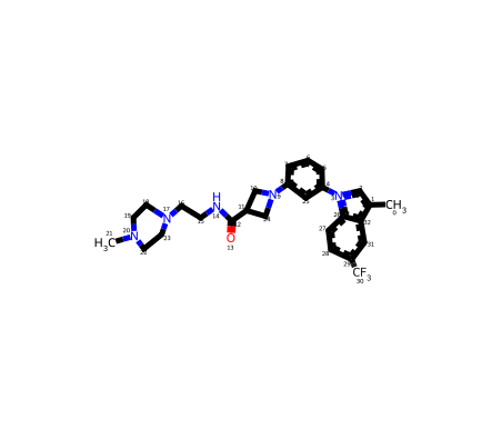 Cc1cn(-c2cccc(N3CC(C(=O)NCCN4CCN(C)CC4)C3)c2)c2ccc(C(F)(F)F)cc12